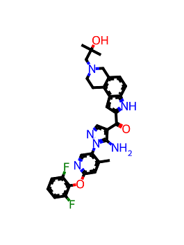 Cc1cc(Oc2c(F)cccc2F)ncc1-n1ncc(C(=O)c2cc3c4c(ccc3[nH]2)CN(CC(C)(C)O)CC4)c1N